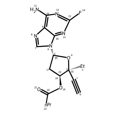 C#C[C@]1(CC)O[C@@H](n2cnc3c(N)nc(F)nc32)C[C@@H]1OC(=O)CCC